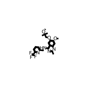 COc1cc2nc(C)nc(NCc3cccc(C(F)(F)F)n3)c2cc1OCC(C)(C)OC